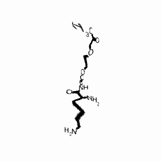 CC(=O)COCCOCCNC(=O)C(N)CCCCN